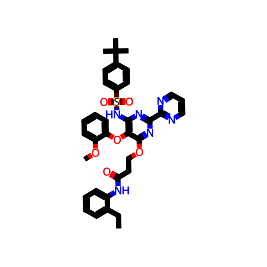 CCc1ccccc1NC(=O)CCOc1nc(-c2ncccn2)nc(NS(=O)(=O)c2ccc(C(C)(C)C)cc2)c1Oc1ccccc1OC